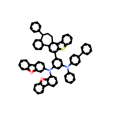 c1ccc(-c2ccc(N(c3ccccc3)c3cc(-c4cc5c(c6c4sc4ccccc46)CCC(c4ccccc4)c4ccccc4-5)cc(N(c4ccc5c(c4)oc4ccccc45)c4cccc5c4oc4ccccc45)c3)cc2)cc1